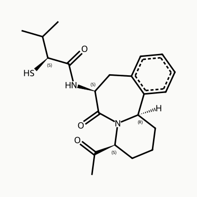 CC(=O)[C@@H]1CCC[C@@H]2c3ccccc3C[C@H](NC(=O)[C@@H](S)C(C)C)C(=O)N21